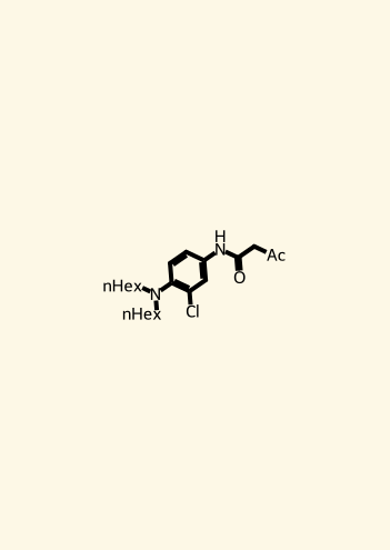 CCCCCCN(CCCCCC)c1ccc(NC(=O)CC(C)=O)cc1Cl